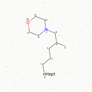 CCCCCCCCCCC(C)CN1CCOCC1